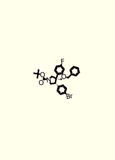 CC(C)(C)OC(=O)N1C[C@@H](c2ccc(Br)cc2)[C@](COCc2ccccc2)(c2ccc(F)cc2)C1